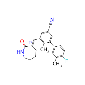 Cc1cc(-c2cc(C#N)cc(/C=C3\CCCCNC3=O)c2C)ccc1F